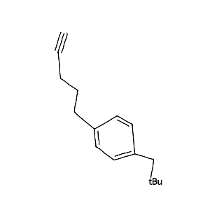 [C]#CCCCc1ccc(CC(C)(C)C)cc1